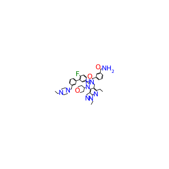 CCc1nc2c(cnn2CC)c(NC2CCOCC2)c1CN(Cc1ccc(F)c(-c2cccc(CN3CCN(CC)CC3)c2)c1)C(=O)c1cccc(C(N)=O)c1